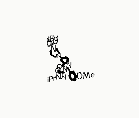 COc1cccc(-c2nc3ccc(N4CCCN(C(=O)OC(C)(C)C)CC4)cc3c(=O)n2CC(=O)NC(C)C)c1